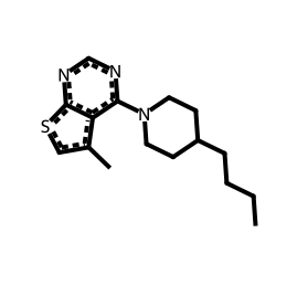 CCCCC1CCN(c2ncnc3scc(C)c23)CC1